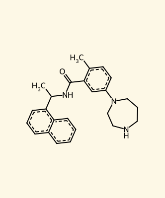 Cc1ccc(N2CCCNCC2)cc1C(=O)NC(C)c1cccc2ccccc12